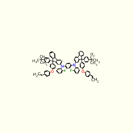 C=Cc1ccc(Oc2ccc(C3(c4ccc(C(C)(C)C)cc4)c4ccccc4-c4ccc(N(c5ccc(N(c6ccc7c(c6)C(c6ccc(Oc8ccc(C=C)cc8)cc6)(c6ccc(C(C)(C)C)cc6)c6ccccc6-7)c6ccccc6F)cc5)c5ccccc5F)cc43)cc2)cc1